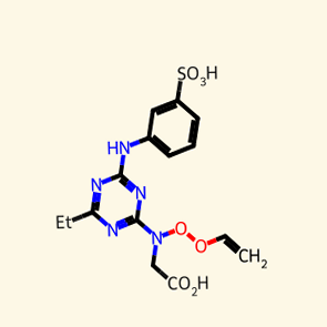 C=COON(CC(=O)O)c1nc(CC)nc(Nc2cccc(S(=O)(=O)O)c2)n1